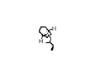 C=CC(I)CN1[C@@H]2CCC[C@H]1CC2